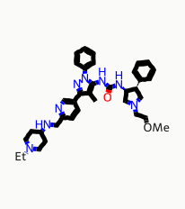 CCN1CCC(NCc2ccc(-c3nn(-c4ccccc4)c(NC(=O)N[C@@H]4CN(CCOC)C[C@H]4c4ccccc4)c3C)cn2)CC1